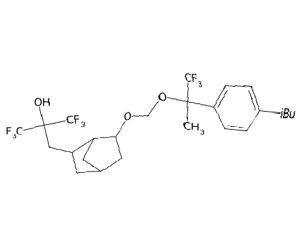 CCC(C)c1ccc(C(C)(OCOC2CC3CC(CC(O)(C(F)(F)F)C(F)(F)F)C2C3)C(F)(F)F)cc1